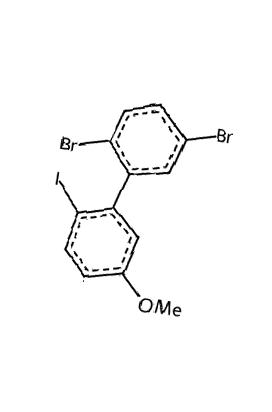 COc1[c]cc(I)c(-c2cc(Br)ccc2Br)c1